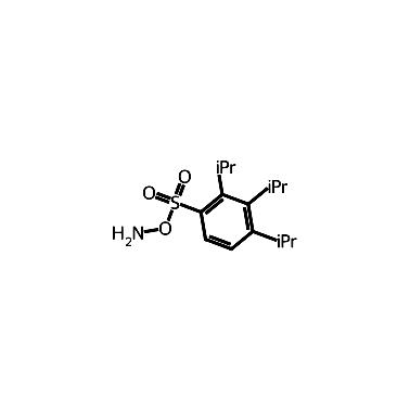 CC(C)c1ccc(S(=O)(=O)ON)c(C(C)C)c1C(C)C